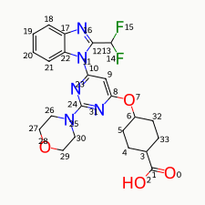 O=C(O)C1CCC(Oc2cc(-n3c(C(F)F)nc4ccccc43)nc(N3CCOCC3)n2)CC1